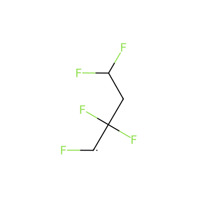 F[CH]C(F)(F)CC(F)F